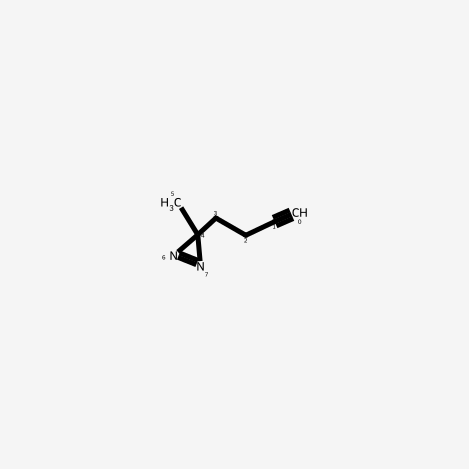 C#CCCC1(C)N=N1